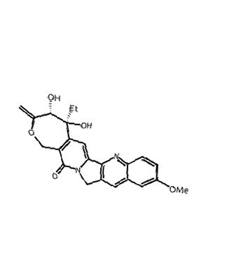 C=C1OCc2c(cc3n(c2=O)Cc2cc4cc(OC)ccc4nc2-3)[C@@](O)(CC)[C@H]1O